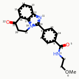 COCCNC(=O)c1ccc(-c2nc3cccc4c3n2CCC4=O)cc1